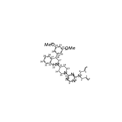 C=CCN(CC=C)c1ncnc(N2CCC(NCC(c3cc(OC)cc(OC)c3)c3ccccc3C)CC2)n1